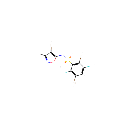 Cc1noc(NS(=O)(=O)c2c(F)c(Br)cc(F)c2Br)c1Br